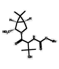 CC(C)(C)OC(=O)NC(C(=O)N1C[C@H]2[C@@H]([C@H]1C(=O)O)C2(C)C)C(C)(C)O